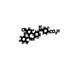 O=C(O)c1ccc(Nc2cc3c(cn2)CN=C(c2c(F)cccc2F)c2cc(Cl)ccc2-3)cc1